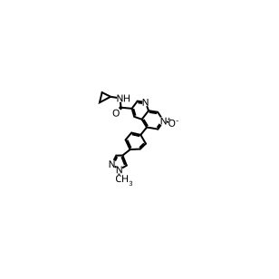 Cn1cc(-c2ccc(-c3c[n+]([O-])cc4ncc(C(=O)NC5CC5)cc34)cc2)cn1